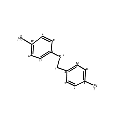 CCc1ccc(CSc2ccc(S)cc2)cc1